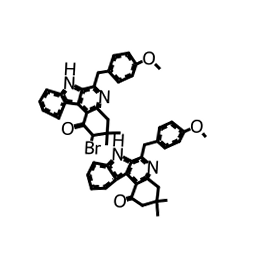 COc1ccc(Cc2nc3c(c4c2[nH]c2ccccc24)C(=O)C(Br)C(C)(C)C3)cc1.COc1ccc(Cc2nc3c(c4c2[nH]c2ccccc24)C(=O)CC(C)(C)C3)cc1